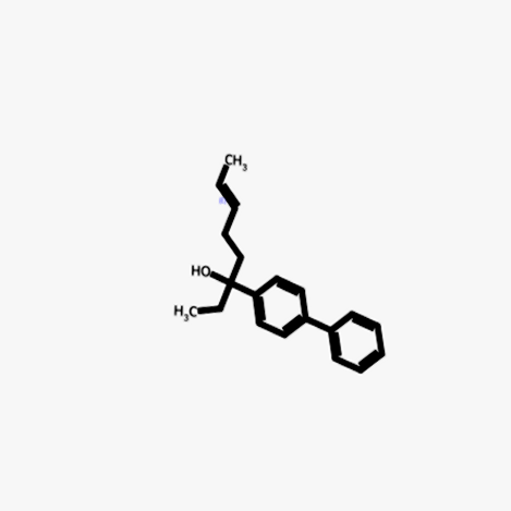 C/C=C/CCC(O)(CC)c1ccc(-c2ccccc2)cc1